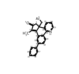 CC(=O)CC12CC(=O)C(C)=C1c1cc(-c3ccccc3)ccc1-c1ncccc12